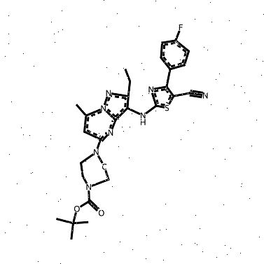 CCc1nn2c(C)cc(N3CCN(C(=O)OC(C)(C)C)CC3)nc2c1Nc1nc(-c2ccc(F)cc2)c(C#N)s1